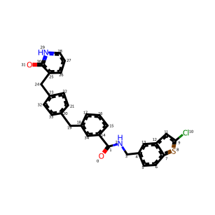 O=C(NCc1ccc2sc(Cl)cc2c1)c1cccc(Cc2ccc(Cc3ccc[nH]c3=O)cc2)c1